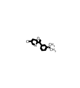 CN(C)c1cccc(-c2coc3cc(Cl)cnc23)c1